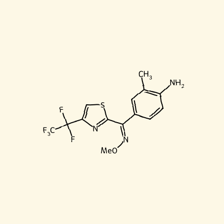 CON=C(c1ccc(N)c(C)c1)c1nc(C(F)(F)C(F)(F)F)cs1